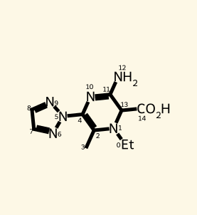 CCN1C(C)=C(n2nccn2)N=C(N)C1C(=O)O